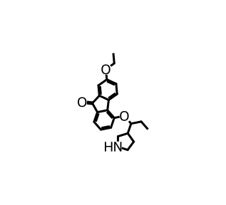 CCOc1ccc2c(c1)C(=O)c1cccc(OC(CC)C3CCNC3)c1-2